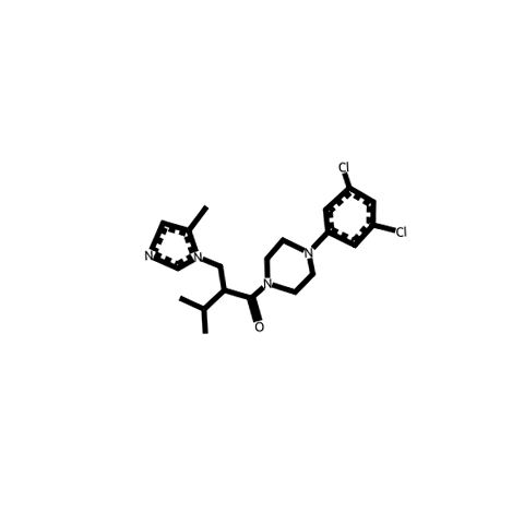 Cc1cncn1CC(C(=O)N1CCN(c2cc(Cl)cc(Cl)c2)CC1)C(C)C